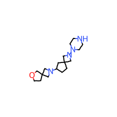 C1CN(N2CC3(CCC(N4CC5(CCOC5)C4)C3)C2)CCN1